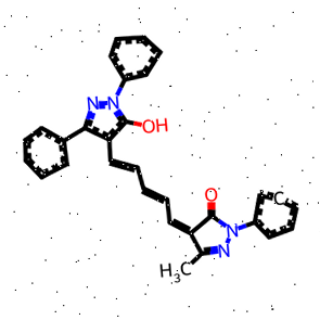 CC1=NN(c2ccccc2)C(=O)/C1=C\C=CC=Cc1c(-c2ccccc2)nn(-c2ccccc2)c1O